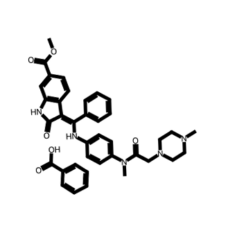 COC(=O)c1ccc2c(c1)NC(=O)/C2=C(\Nc1ccc(N(C)C(=O)CN2CCN(C)CC2)cc1)c1ccccc1.O=C(O)c1ccccc1